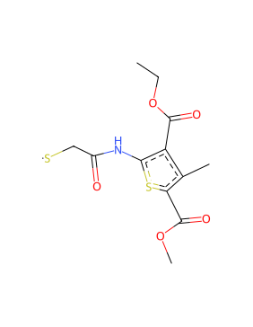 CCOC(=O)c1c(NC(=O)C[S])sc(C(=O)OC)c1C